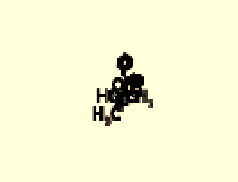 CC=C(F)[C@H](O)[C@@H](C)C(=O)N1C(=O)OC[C@H]1Cc1ccccc1